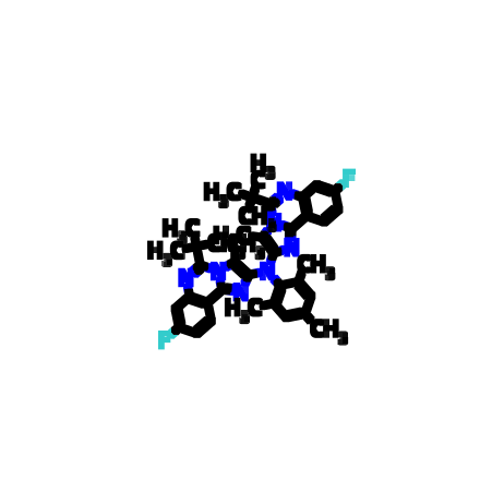 Cc1cc(C)c(N(c2nc3c4ccc(F)cc4nc(C(C)(C)C)n3c2C)c2nc3c4ccc(F)cc4nc(C(C)(C)C)n3c2C)c(C)c1